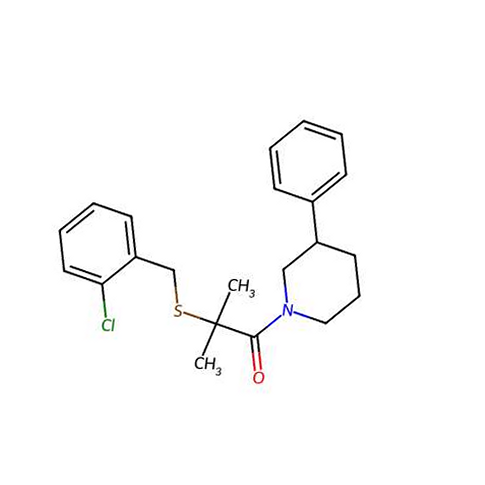 CC(C)(SCc1ccccc1Cl)C(=O)N1CCCC(c2ccccc2)C1